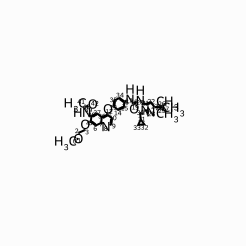 COCCOc1cc2nccc(Oc3ccc(NC(=O)Nc4cc(C(C)(C)C)nn4CC4CC4)cc3)c2cc1NC(C)=O